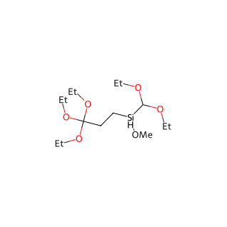 CCOC(OCC)[SiH](CCC(OCC)(OCC)OCC)OC